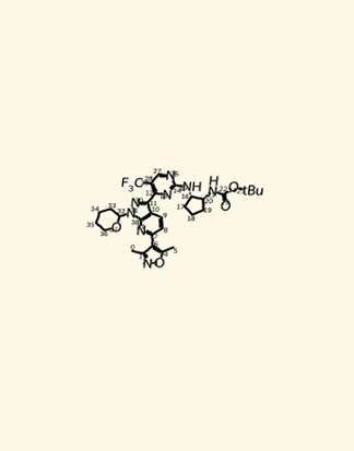 Cc1noc(C)c1-c1ccc2c(-c3nc(N[C@H]4CCC[C@@H]4NC(=O)OC(C)(C)C)ncc3C(F)(F)F)nn(C3CCCCO3)c2n1